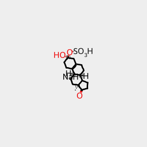 C[C@]12CC[C@H]3C4=C(CC[C@@H]3C1CCC2=O)C[C@](O)(OS(=O)(=O)O)CC4.[NaH]